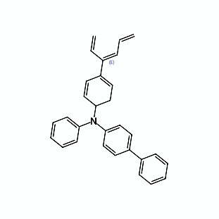 C=C/C=C(\C=C)C1=CCC(N(c2ccccc2)c2ccc(-c3ccccc3)cc2)C=C1